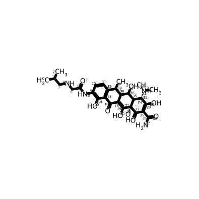 CC(C)CNCC(=O)Nc1ccc2c(c1O)C(=O)C1=C(O)[C@]3(O)C(=O)C(C(N)=O)=C(O)[C@@H](N(C)C)C3C(O)C1C2C